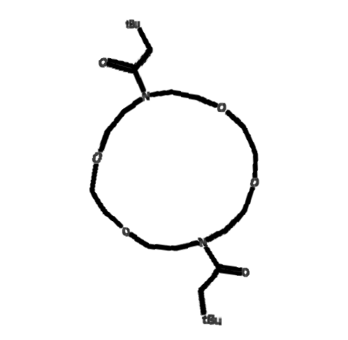 CC(C)(C)CC(=O)N1CCOCCOCCN(C(=O)CC(C)(C)C)CCOCCOCC1